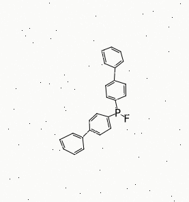 FP(c1ccc(-c2ccccc2)cc1)c1ccc(-c2ccccc2)cc1